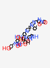 COc1cc(CN2CCN(C3CC4(CCN(c5ccc(C(=O)NS(=O)(=O)c6ccc(NCC7CCC(C)(O)CC7)c([N+](=O)[O-])c6)c(N6C[C@H]7CCOC[C@@H]7Oc7nc8[nH]ccc8cc76)c5)CC4)C3)[C@H](c3ccccc3C)C2)cnc1N1CCOCC1